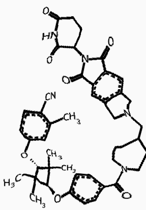 Cc1cc(O[C@H]2C(C)(C)[C@H](Oc3ccc(C(=O)N4CCC(CN5Cc6cc7c(cc6C5)C(=O)N(C5CCC(=O)NC5=O)C7=O)CC4)cc3)C2(C)C)ccc1C#N